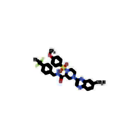 CCC(F)(F)c1ccc(CNC(=O)[C@H]2CN(c3cnc4ccc(C(=O)O)cc4n3)CCN2S(=O)(=O)c2ccc(OC(F)(F)F)cc2)cc1